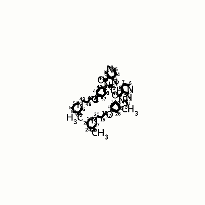 CCc1nc2ncccc2c(=O)n1-c1ccc(OCCCN2CCC[C@H](C)C2)cc1.Cc1nc2ccncc2c(=O)n1-c1ccc(OCCCN2CCC[C@H](C)C2)cc1